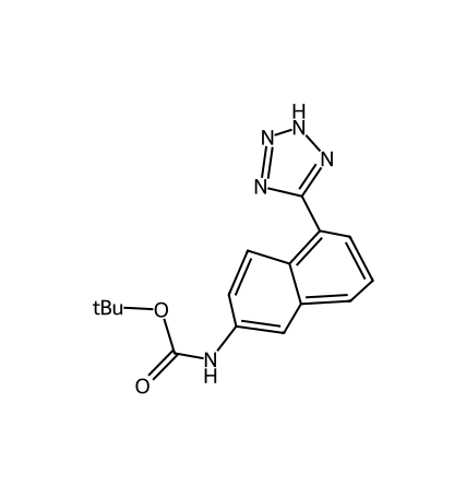 CC(C)(C)OC(=O)Nc1ccc2c(-c3nn[nH]n3)cccc2c1